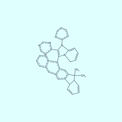 CC1(C)c2cc3c(C4=C(c5ncncn5)N(c5ccccc5)C5=CC=CCN54)c4ccccc4cc3cc2C2C=CC=CC21